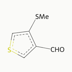 CSc1cscc1C=O